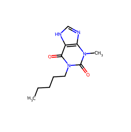 CCCCCn1c(=O)c2[nH]cnc2n(C)c1=O